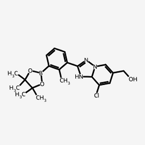 Cc1c(B2OC(C)(C)C(C)(C)O2)cccc1C1=NN2C=C(CO)C=C(Cl)C2N1